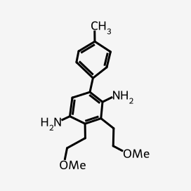 COCCc1c(N)cc(-c2ccc(C)cc2)c(N)c1CCOC